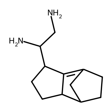 NCC(N)C1CCC2C1=C1CCC2C1